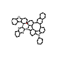 c1ccc(-n2c3cccc4c5cc6ccccc6cc5c5cccc6c5c5c(c43)c2ccc5n6-c2nc3ccccc3nc2-c2cccc3oc4ccccc4c23)cc1